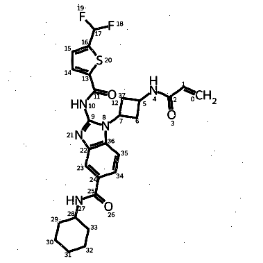 C=CC(=O)NC1CC(n2c(NC(=O)c3ccc(C(F)F)s3)nc3cc(C(=O)NC4CCCCC4)ccc32)C1